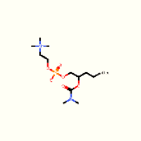 CCCCCCCCCCCCC(COP(=O)([O-])OCC[N+](C)(C)C)OC(=O)N(C)C